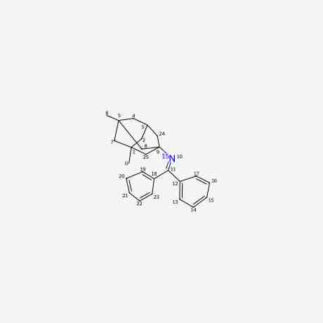 CC12CC3CC(C)(C1)CC([15N]=C(c1ccccc1)c1ccccc1)(C3)C2